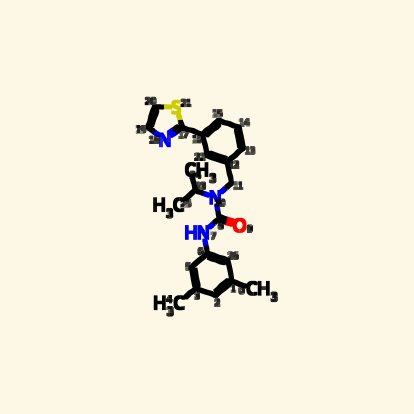 Cc1cc(C)cc(NC(=O)N(Cc2cccc(-c3nccs3)c2)C(C)C)c1